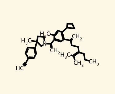 C#Cc1ccc(C2(C)CCN(C(=C)c3cc(C(=C)CCC(CCC)=C(C)C)c(C4CCC4)cc3C)C2)cc1